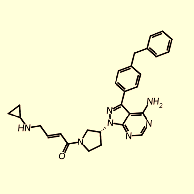 Nc1ncnc2c1c(-c1ccc(Cc3ccccc3)cc1)nn2[C@@H]1CCN(C(=O)/C=C/CNC2CC2)C1